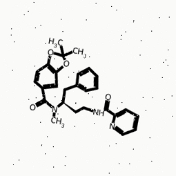 CN(C(=O)c1ccc2c(c1)OC(C)(C)O2)[C@H](CCNC(=O)c1ccccn1)Cc1ccccc1